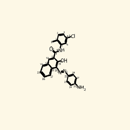 Cc1ccc(Cl)cc1NC(=O)c1cc2ccccc2c(N=Nc2ccc(N)cc2)c1O